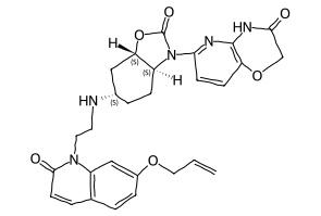 C=CCOc1ccc2ccc(=O)n(CCN[C@H]3CC[C@H]4[C@H](C3)OC(=O)N4c3ccc4c(n3)NC(=O)CO4)c2c1